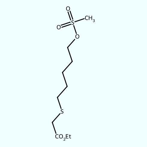 CCOC(=O)CSCCCCCOS(C)(=O)=O